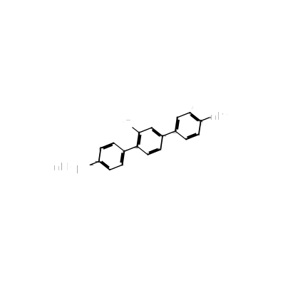 CCCCCCCc1ccc(-c2ccc(-c3ccc(CCC)cc3)cc2F)cc1